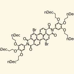 CCCCCCCCCCCCOc1cc(N2C(=O)c3ccc4c5c(Br)cc6c7c(ccc(c8c(Br)cc(c3c48)C2=O)c75)C(=O)N(c2cc(OCCCCCCCCCCCC)c(OCCCCCCCCCCCC)c(OCCCCCCCCCCCC)c2)C6=O)cc(OCCCCCCCCCCCC)c1OCCCCCCCCCCCC